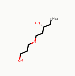 CCCCCCC[C@@H](O)CCOCCCO